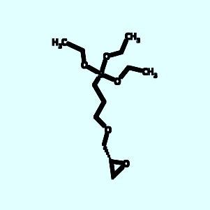 CCO[Si](CCCOC[C@H]1CO1)(OCC)OCC